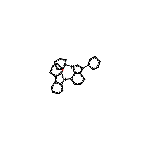 c1ccc(-c2cn(-c3ccccc3)c3c(-n4c5ccccc5c5ccccc54)cccc23)cc1